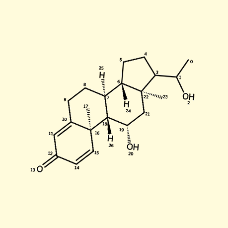 CC(O)C1CC[C@H]2[C@@H]3CCC4=CC(=O)C=C[C@]4(C)[C@H]3[C@@H](O)C[C@]12C